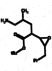 CC(C)CC1OC1C(CC(C)CN)C(=O)OC(C)(C)C